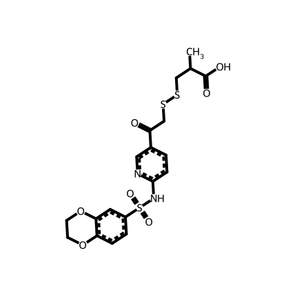 CC(CSSCC(=O)c1ccc(NS(=O)(=O)c2ccc3c(c2)OCCO3)nc1)C(=O)O